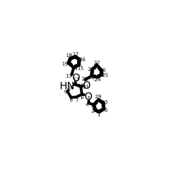 c1ccc(COC2CCCNC(OCc3ccccc3)C2OCc2ccccc2)cc1